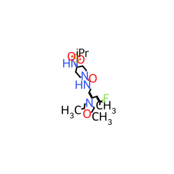 C/C(F)=C\C(=C/CNC(=O)N1CCC(NS(=O)(=O)C(C)C)CC1)N1CC(C)OC(C)C1